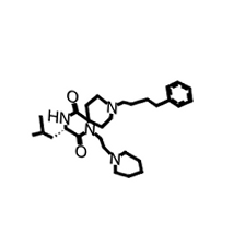 CC(C)C[C@@H]1NC(=O)C2(CCN(CCCCc3ccccc3)CC2)N(CCN2CCCCC2)C1=O